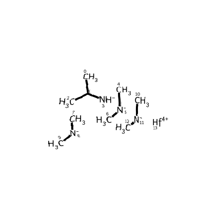 CC(C)[NH-].C[N-]C.C[N-]C.C[N-]C.[Hf+4]